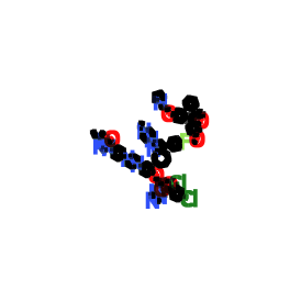 CCC(C)n1ncn(-c2ccc(N3CCN(c4ccc(OC[C@H]5CO[C@](Cn6cncn6)(c6ccc(Cl)cc6Cl)O5)cc4)CC3)cc2)c1=O.CCN1CCN(c2cc(-c3ccc(F)cc3)c3c(n2)CCCCCC3)CC1.COc1ccc2c(c1)OC(C)(C)[C@@H](c1ccccc1)[C@@H]2c1ccc(OCCN2CCCC2)cc1